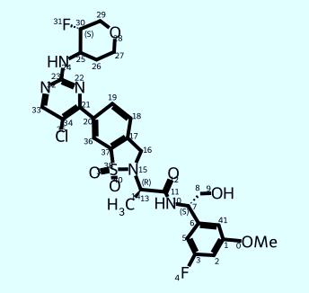 COc1cc(F)cc([C@@H](CO)NC(=O)[C@@H](C)N2Cc3ccc(-c4nc(NC5CCOC[C@H]5F)ncc4Cl)cc3S2(=O)=O)c1